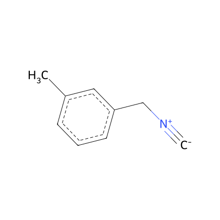 [C-]#[N+]Cc1cccc(C)c1